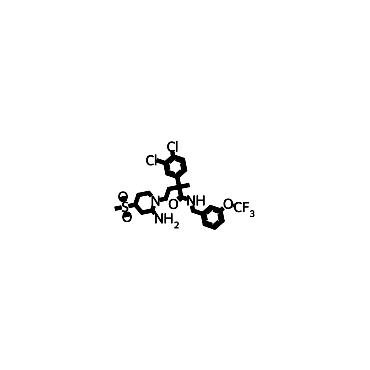 CC(CCN1CCC(S(C)(=O)=O)CC1N)(C(=O)NCc1cccc(OC(F)(F)F)c1)c1ccc(Cl)c(Cl)c1